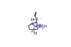 C=C[C@H](C)[C@@H]1NC[C@H]2CC[C@@H]1N2C(=O)O